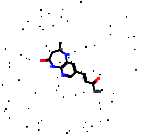 CNC(=O)/C=C/c1cnc2c(c1)N[C@H](C)CC(=O)N2